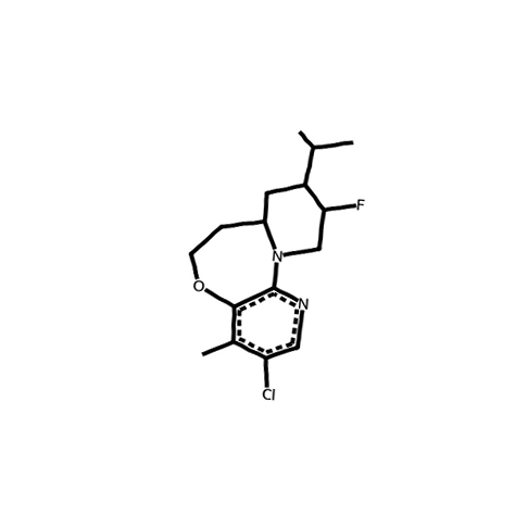 Cc1c(Cl)cnc2c1OCCC1CC(C(C)C)C(F)CN21